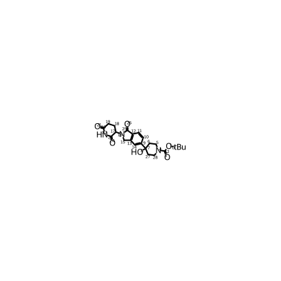 CC(C)(C)OC(=O)N1CCC(O)(c2ccc3c(c2)CN(C2CCC(=O)NC2=O)C3=O)CC1